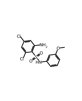 COc1cccc(NS(=O)(=O)c2c(N)cc(Cl)cc2Cl)c1